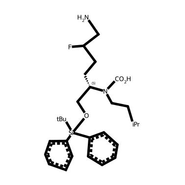 CC(C)CCN(C(=O)O)[C@@H](CCC(F)CN)CO[Si](c1ccccc1)(c1ccccc1)C(C)(C)C